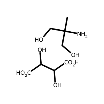 CC(N)(CO)CO.O=C(O)C(O)C(O)C(=O)O